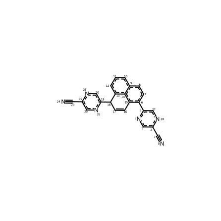 N#Cc1cnc(-c2ccc3cccc4c3c2C=CC4c2cnc(C#N)cn2)cn1